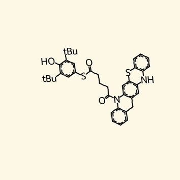 CC(C)(C)c1cc(SC(=O)CCCC(=O)N2c3ccccc3Cc3cc4c(cc32)Sc2ccccc2N4)cc(C(C)(C)C)c1O